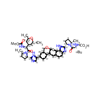 CC[C@H](C)[C@H](NC(=O)O)C(=O)N1[C@@H](C)CC[C@H]1c1nc2ccc3cc4c(cc3c2[nH]1)OCc1cc(-c2cnc([C@@H]3CC[C@H](C)N3C(=O)[C@@H](NC(=O)OC)C3C[C@@H](C)O[C@H](C)C3)[nH]2)ccc1-4